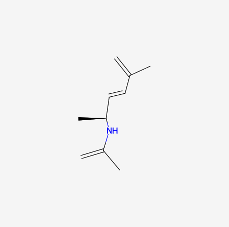 C=C(C)/C=C/[C@H](C)NC(=C)C